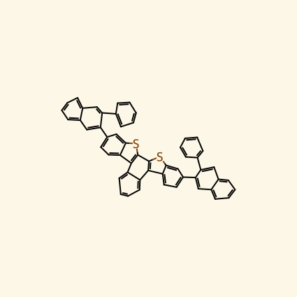 c1ccc(-c2cc3ccccc3cc2-c2ccc3c(c2)sc2c4sc5cc(-c6cc7ccccc7cc6-c6ccccc6)ccc5c4c4ccccc4c32)cc1